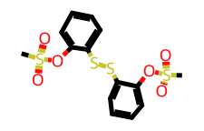 CS(=O)(=O)Oc1ccccc1SSc1ccccc1OS(C)(=O)=O